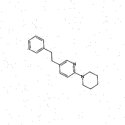 [c]1cccc(CCc2ccc(N3CCCCC3)nc2)c1